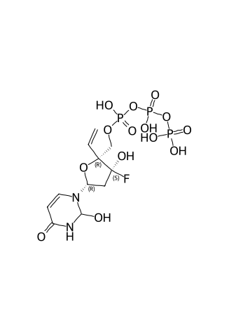 C=C[C@]1(COP(=O)(O)OP(=O)(O)OP(=O)(O)O)O[C@@H](N2C=CC(=O)NC2O)C[C@]1(O)F